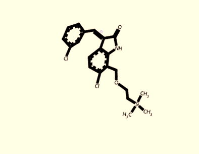 C[Si](C)(C)CCOCc1c(Cl)ccc2c1NC(=O)/C2=C/c1cccc(Cl)c1